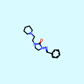 O=C1N(CCN2CCCCC2)CCN1N=Cc1ccccc1